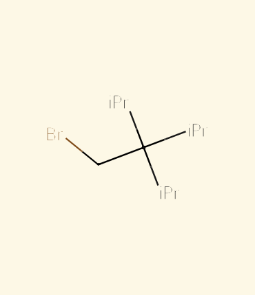 CC(C)C(CBr)(C(C)C)C(C)C